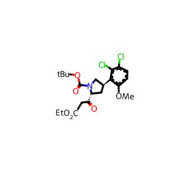 CCOC(=O)CC(=O)[C@H]1C[C@H](c2c(OC)ccc(Cl)c2Cl)CN1C(=O)OC(C)(C)C